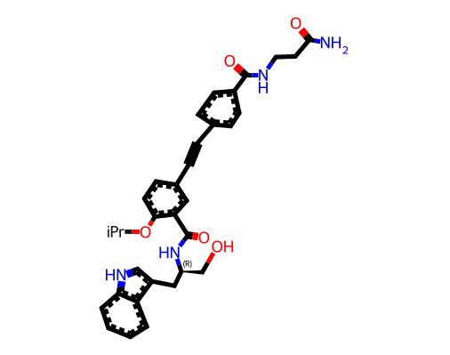 CC(C)Oc1ccc(C#Cc2ccc(C(=O)NCCC(N)=O)cc2)cc1C(=O)N[C@@H](CO)Cc1c[nH]c2ccccc12